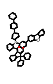 c1ccc(-c2ccc(-c3ccc(N(c4cccc(-c5ccc6c(c5)oc5ccccc56)c4)c4ccccc4-c4cccc5c4-c4ccccc4C5(c4ccccc4)c4ccccc4)cc3)cc2)cc1